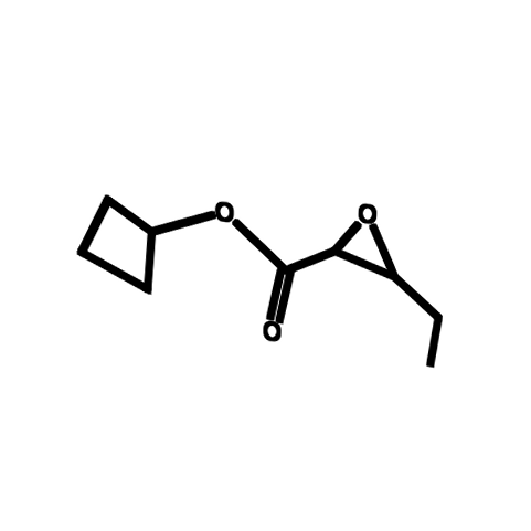 CCC1OC1C(=O)OC1CCC1